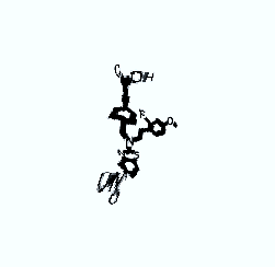 COc1ccc(CCN(Cc2ccc(C#CC(=O)O)cc2)c2nc3cc([N+](=O)[O-])ccc3s2)c(F)c1